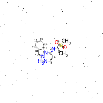 C=C(/N=C(\C=C/N)n1ncc2ccccc21)S(C)(=O)=O